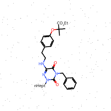 CCCCCCCn1nc(NCCc2ccc(OC(C)(C)C(=O)OCC)cc2)c(=O)n(Cc2ccccc2)c1=O